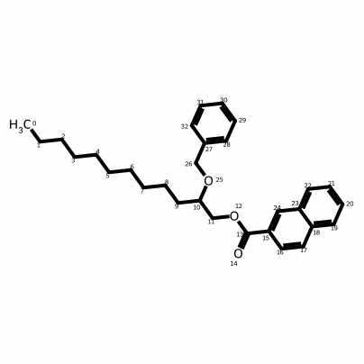 CCCCCCCCCCC(COC(=O)c1ccc2ccccc2c1)OCc1ccccc1